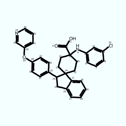 O=C(O)C1(Nc2cccc(Cl)c2)CCC2(CC1)c1ccccc1CC2c1ccc(Oc2cccnc2)cc1